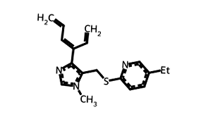 C=C/C=C(\C=C)c1ncn(C)c1CSc1ccc(CC)cn1